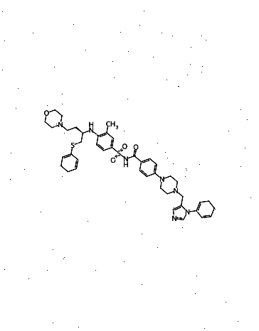 Cc1cc(S(=O)(=O)NC(=O)c2ccc(N3CCN(Cc4cncn4C4=CCCC=C4)CC3)cc2)ccc1N[C@H](CCN1CCOCC1)CSC1=CCCC=C1